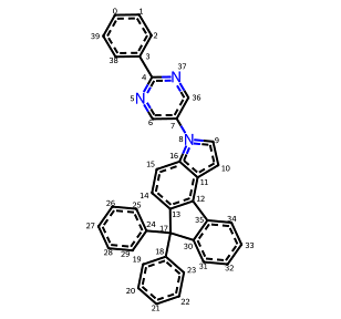 c1ccc(-c2ncc(-n3ccc4c5c(ccc43)C(c3ccccc3)(c3ccccc3)c3ccccc3-5)cn2)cc1